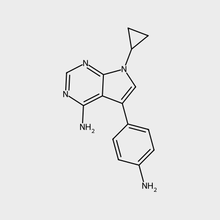 Nc1ccc(-c2cn(C3CC3)c3ncnc(N)c23)cc1